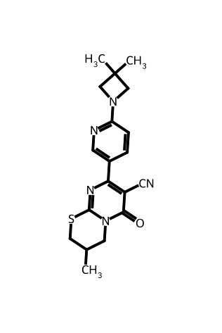 CC1CSc2nc(-c3ccc(N4CC(C)(C)C4)nc3)c(C#N)c(=O)n2C1